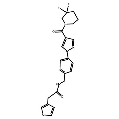 O=C(Cc1ccsc1)NCc1ccc(-n2cc(C(=O)N3CCCC(F)(F)C3)cn2)cc1